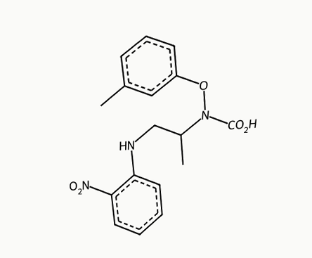 Cc1cccc(ON(C(=O)O)C(C)CNc2ccccc2[N+](=O)[O-])c1